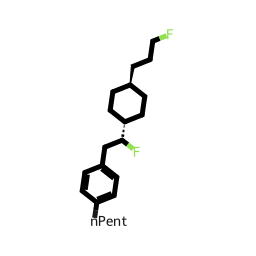 CCCCCc1ccc(CC(F)[C@H]2CC[C@H](CCCF)CC2)cc1